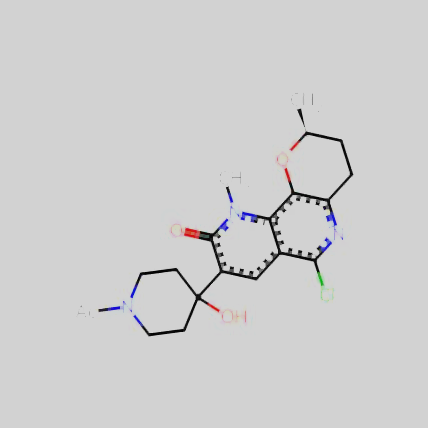 [CH2][C@H]1CCc2nc(Cl)c3cc(C4(O)CCN(C(C)=O)CC4)c(=O)n(C)c3c2O1